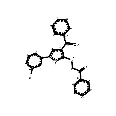 O=C(CSc1sc(-c2cccc(F)c2)cc1C(=O)c1ccccc1)c1ccccc1